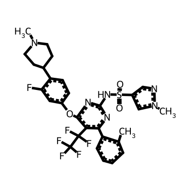 Cc1ccccc1-c1nc(NS(=O)(=O)c2cnn(C)c2)nc(Oc2ccc(C3CCN(C)CC3)c(F)c2)c1C(F)(F)C(F)(F)F